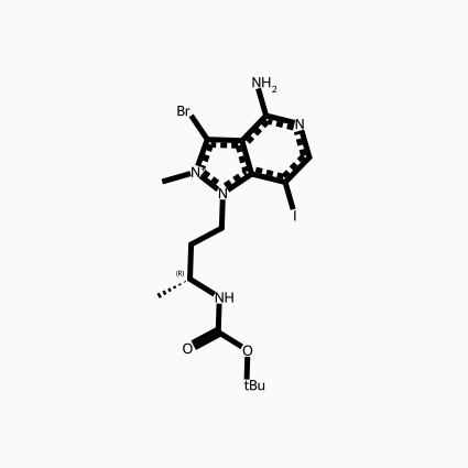 C[C@H](CCn1c2c(I)cnc(N)c2c(Br)[n+]1C)NC(=O)OC(C)(C)C